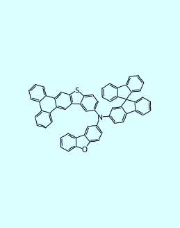 c1ccc2c(c1)-c1ccccc1C21c2ccccc2-c2ccc(N(c3ccc4oc5ccccc5c4c3)c3ccc4sc5cc6c7ccccc7c7ccccc7c6cc5c4c3)cc21